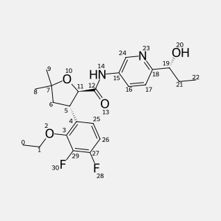 CCOc1c([C@@H]2CC(C)(C)O[C@H]2C(=O)Nc2ccc([C@H](O)CC)nc2)ccc(F)c1F